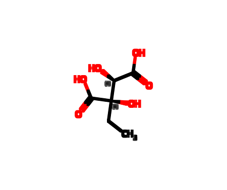 CC[C@](O)(C(=O)O)[C@@H](O)C(=O)O